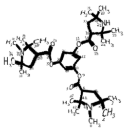 CN1C(C)(C)CC(C(=O)Oc2cc(OC(=O)C3CC(C)(C)NC3(C)C)cc(OC(=O)C3CC(C)(C)N(C)C3(C)C)c2)C1(C)C